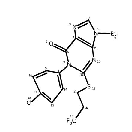 CCn1cnc2c(=O)n(-c3ccc(Cl)cc3)c(SCCC(F)(F)F)nc21